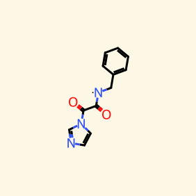 O=C([N]Cc1ccccc1)C(=O)n1ccnc1